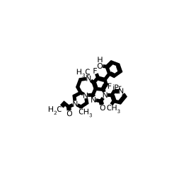 C=CC(=O)N1CC2CCN(C)c3c(F)c(-c4ccccc4O)c(F)c4c3c(nc(=O)n4-c3c(C)ccnc3C(C)C)N2CC1C